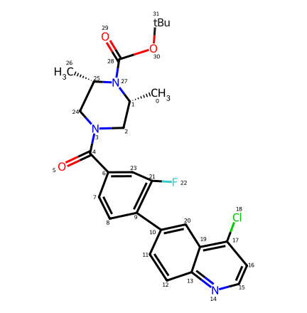 C[C@@H]1CN(C(=O)c2ccc(-c3ccc4nccc(Cl)c4c3)c(F)c2)C[C@H](C)N1C(=O)OC(C)(C)C